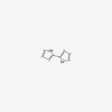 [c]1ccc(-c2cc[c][se]2)[se]1